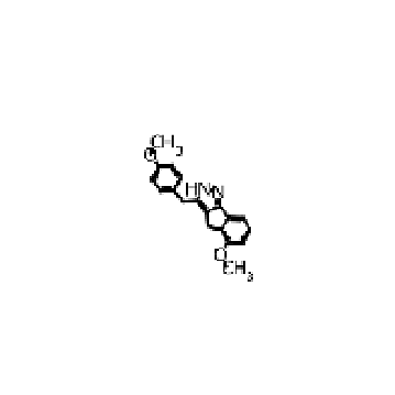 COc1ccc(Cc2[nH]nc3c2Cc2c(OC)cccc2-3)cc1